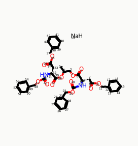 [CH2]C(COC(=O)[C@H](CC(=O)OCc1ccccc1)NC(=O)OCc1ccccc1)OC(=O)[C@H](CC(=O)OCc1ccccc1)NC(=O)OCc1ccccc1.[NaH]